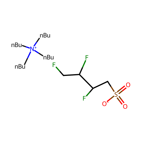 CCCC[N+](CCCC)(CCCC)CCCC.O=S(=O)([O-])CC(F)C(F)CF